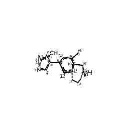 Cn1nncc1-c1cc(I)c2c(c1)CCNC2